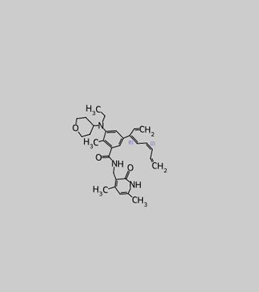 C=C/C=C\C=C(/C=C)c1cc(C(=O)NCc2c(C)cc(C)[nH]c2=O)c(C)c(N(CC)C2CCOCC2)c1